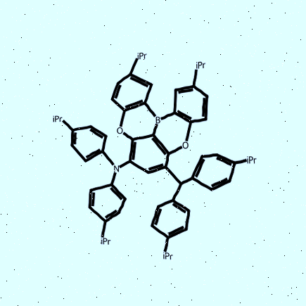 CC(C)c1ccc(C(c2ccc(C(C)C)cc2)c2cc(N(c3ccc(C(C)C)cc3)c3ccc(C(C)C)cc3)c3c4c2Oc2ccc(C(C)C)cc2B4c2cc(C(C)C)ccc2O3)cc1